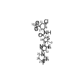 Cc1sc(C(=O)Nc2cc(Cl)cc(S(C)(=O)=O)c2)cc1-c1ncc(N2CCCC(F)(F)C2)cc1F